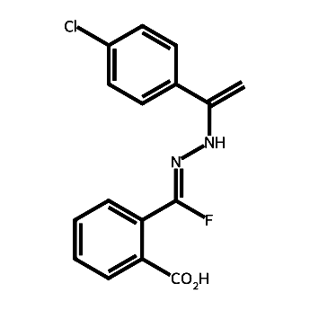 C=C(N/N=C(\F)c1ccccc1C(=O)O)c1ccc(Cl)cc1